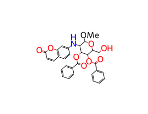 COC1OC(CO)C(OC(=O)c2ccccc2)C(OC(=O)c2ccccc2)C1Nc1ccc2ccc(=O)oc2c1